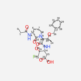 CCC(=O)Nc1cccn([C@H](C(=O)NC(CC(=O)O)C(=O)CF)[C@H](C)OCc2ccccc2)c1=O